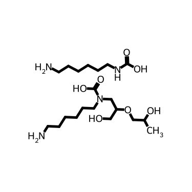 CC(O)COC(CO)CN(CCCCCCN)C(=O)O.NCCCCCCNC(=O)O